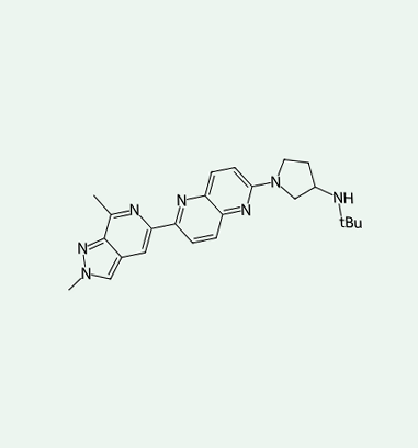 Cc1nc(-c2ccc3nc(N4CCC(NC(C)(C)C)C4)ccc3n2)cc2cn(C)nc12